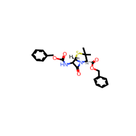 CC1(C)S[C@@H]2C(NC(=O)OCc3ccccc3)C(=O)N2[C@H]1C(=O)OCc1ccccc1